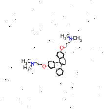 CN(C)CCCOc1ccc(C2=C(c3ccccc3)CCc3cc(OCCCN(C)C)ccc32)cc1